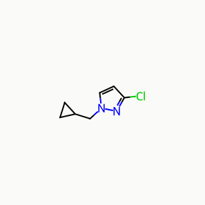 Clc1ccn(CC2CC2)n1